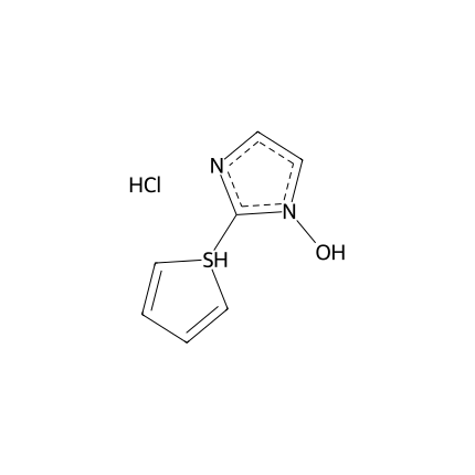 Cl.On1ccnc1[SH]1C=CC=C1